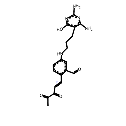 CC(=O)C(=O)/C=C/c1ccc(NCCCc2c(N)nc(N)nc2O)cc1C=O